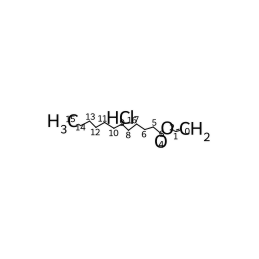 C=COC(=O)CCCCCCCCCCC.Cl